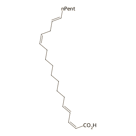 CCCCC/C=C/C/C=C\CCCCCCCC=C/C=C\C(=O)O